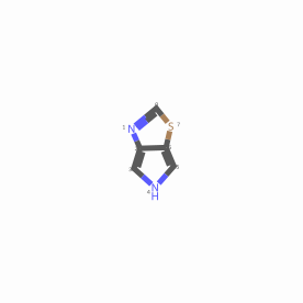 c1nc2c[nH]cc2s1